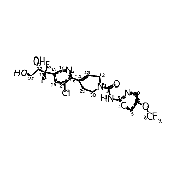 O=C(Nc1ccc(OC(F)(F)F)cn1)N1CC=C(c2ncc(C(F)(F)[C@@H](O)CO)cc2Cl)CC1